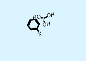 OP(O)O.[K][c]1ccccc1